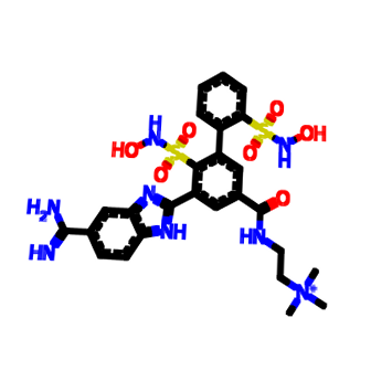 C[N+](C)(C)CCNC(=O)c1cc(-c2nc3cc(C(=N)N)ccc3[nH]2)c(S(=O)(=O)NO)c(-c2ccccc2S(=O)(=O)NO)c1